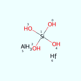 O[Si](O)(O)O.[AlH3].[Hf]